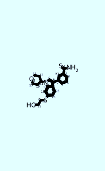 NC(=S)c1cccc(-c2cn(C3CCOCC3)c3cc(SCCO)ccc23)c1